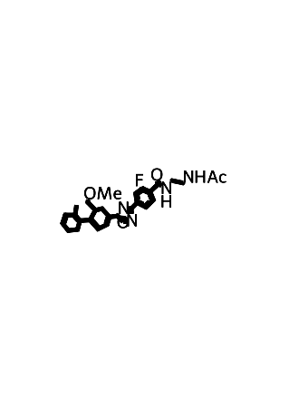 COCC1CC(c2nc(-c3ccc(C(=O)NCCNC(C)=O)c(F)c3)no2)=CC=C1C1=C(C)C=CCC1